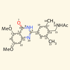 COc1cc(OC)c2c(=O)[nH]c(-c3cc(C)c(CNC(C)=O)c(C)c3)nc2c1